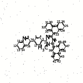 CN1C(c2ccc(-c3cnc4ccccc4c3)cc2)=NC(c2cc3ccccc3c3ccccc23)=NC1c1cc2ccccc2c2ccccc12